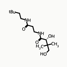 CC(C)(C)CCNC(=O)CCNC(=O)[C@H](O)C(C)(C)CO